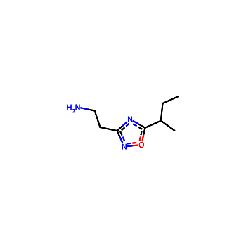 CCC(C)c1nc(CCN)no1